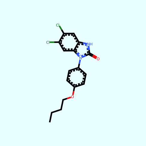 CCCCOc1ccc(-n2c(=O)[nH]c3cc(Cl)c(Cl)cc32)cc1